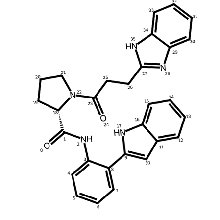 O=C(Nc1ccccc1-c1cc2ccccc2[nH]1)[C@@H]1CCCN1C(=O)CCc1nc2ccccc2[nH]1